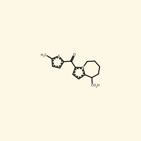 Cc1ccc(C(=O)c2ccc3n2CCCCC3C(=O)O)s1